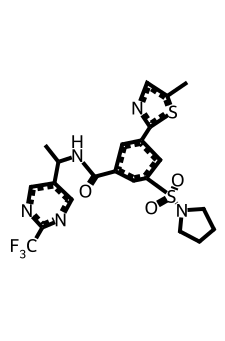 Cc1cnc(-c2cc(C(=O)NC(C)c3cnc(C(F)(F)F)nc3)cc(S(=O)(=O)N3CCCC3)c2)s1